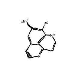 COc1cc2ccnc3c2c(c1O)NC=C3